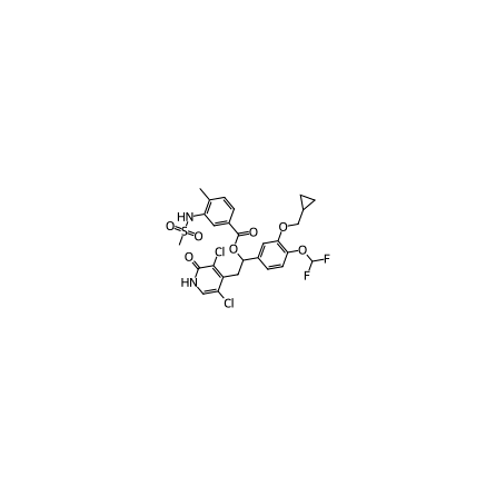 Cc1ccc(C(=O)OC(Cc2c(Cl)c[nH]c(=O)c2Cl)c2ccc(OC(F)F)c(OCC3CC3)c2)cc1NS(C)(=O)=O